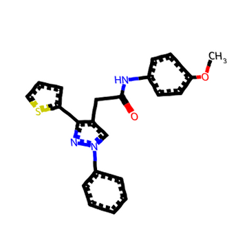 COc1ccc(NC(=O)Cc2cn(-c3ccccc3)nc2-c2cccs2)cc1